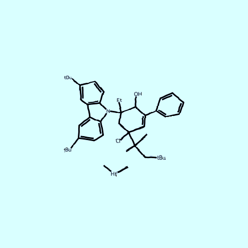 CCC1(n2c3ccc(C(C)(C)C)cc3c3cc(C(C)(C)C)ccc32)CC(Cl)(C(C)(C)CC(C)(C)C)C=C(c2ccccc2)C1O.[CH3][Hf][CH3]